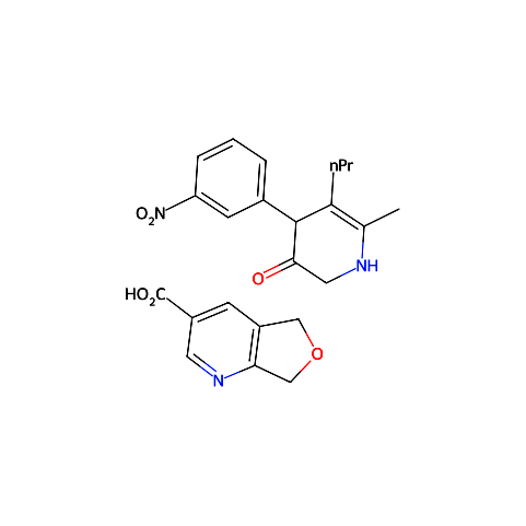 CCCC1=C(C)NCC(=O)C1c1cccc([N+](=O)[O-])c1.O=C(O)c1cnc2c(c1)COC2